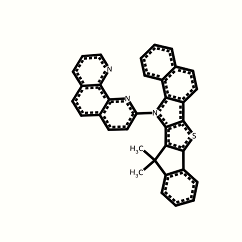 CC1(C)c2ccccc2-c2sc3c4ccc5ccccc5c4n(-c4ccc5ccc6cccnc6c5n4)c3c21